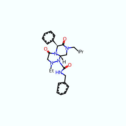 CCN1CC(=O)N2[C@@H](c3ccccc3)C(=O)N(CC(C)C)C[C@@H]2N1C(=O)NCc1ccccc1